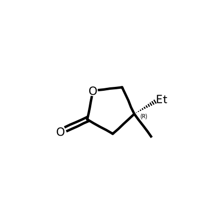 CC[C@@]1(C)COC(=O)C1